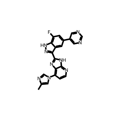 Cc1cn(-c2ccnc3[nH]c(-c4n[nH]c5c(F)cc(-c6cncnc6)cc45)nc23)cn1